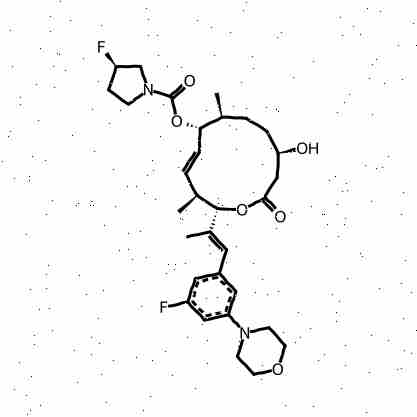 C/C(=C\c1cc(F)cc(N2CCOCC2)c1)[C@H]1OC(=O)C[C@H](O)CC[C@H](C)[C@@H](OC(=O)N2CC[C@@H](F)C2)/C=C/[C@@H]1C